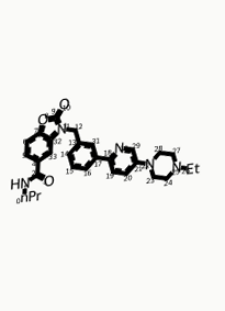 CCCNC(=O)c1ccc2oc(=O)n(Cc3cccc(-c4ccc(N5CCN(CC)CC5)cn4)c3)c2c1